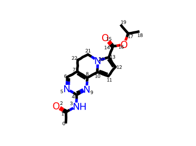 CC(=O)Nc1ncc2c(n1)-c1ccc(C(=O)OC(C)C)n1CC2